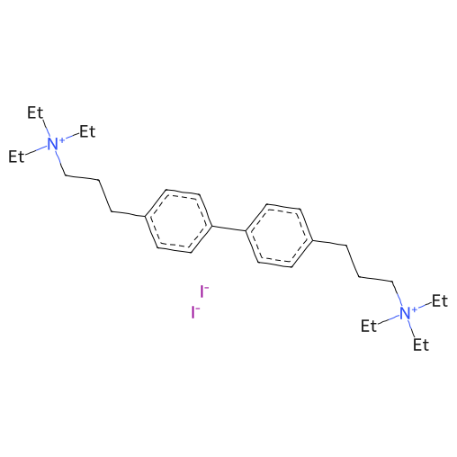 CC[N+](CC)(CC)CCCc1ccc(-c2ccc(CCC[N+](CC)(CC)CC)cc2)cc1.[I-].[I-]